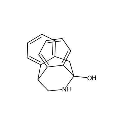 OC12Cc3ccccc3C(CN1)c1ccccc12